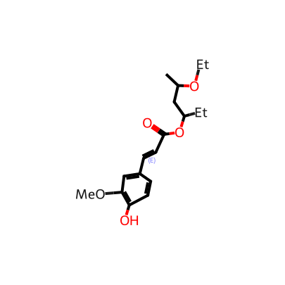 CCOC(C)CC(CC)OC(=O)/C=C/c1ccc(O)c(OC)c1